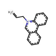 C=CC[n+]1cc2ccccc2c2ccccc21